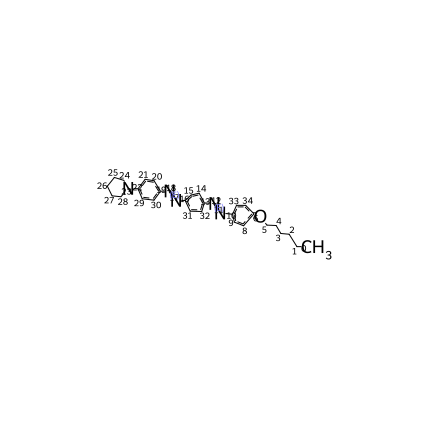 CCCCCCOc1ccc(/N=N/c2ccc(/N=N/c3ccc(N4CCCCC4)cc3)cc2)cc1